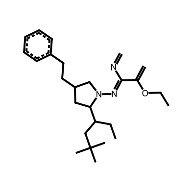 C=N/C(=N\N1CC(CCc2ccccc2)CC1C(CC)CC(C)(C)C)C(=C)OCC